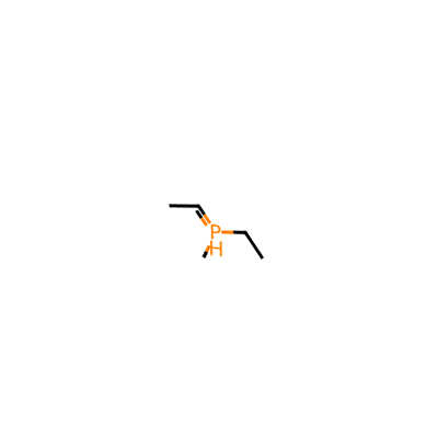 C/C=[PH](\C)CC